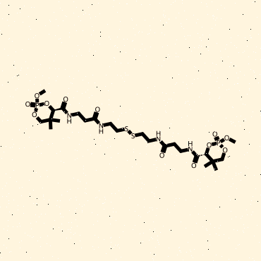 COP1(=O)OCC(C)(C)[C@H](C(=O)NCCC(=O)NCCSSCCNC(=O)CCNC(=O)[C@@H]2OP(=O)(OC)OCC2(C)C)O1